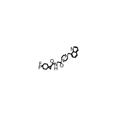 O=C(NCC(=O)N1CCN(Cc2cccc3cccnc23)CC1)C1CC12CCC(F)(F)CC2